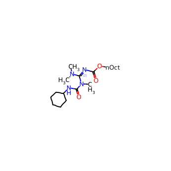 CCCCCCCCOC(=O)/N=C(/N(C)C)N(C)C(=O)NC1CCCCC1